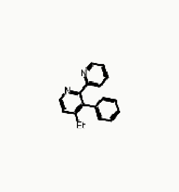 CCc1ccnc(-c2ccccn2)c1-c1ccccc1